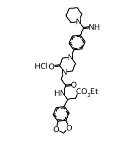 CCOC(=O)CC(NC(=O)CN1CCN(c2ccc(C(=N)N3CCCCC3)cc2)CC1=O)c1ccc2c(c1)OCO2.Cl